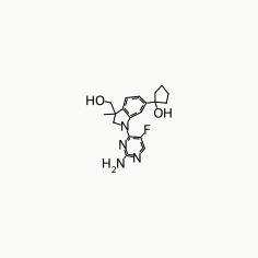 CC1(CO)CN(c2nc(N)ncc2F)c2cc(C3(O)CCCC3)ccc21